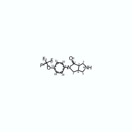 O=C1C2CNCC2CN1c1ccc(OC(F)(F)F)cc1